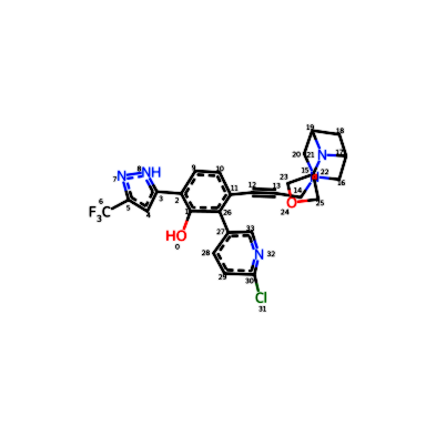 Oc1c(-c2cc(C(F)(F)F)n[nH]2)ccc(C#CCN2CC3CC(C2)N3C2COC2)c1-c1ccc(Cl)nc1